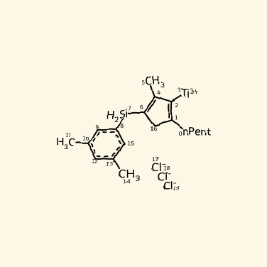 CCCCCC1=[C]([Ti+3])C(C)=C([SiH2]c2cc(C)cc(C)c2)C1.[Cl-].[Cl-].[Cl-]